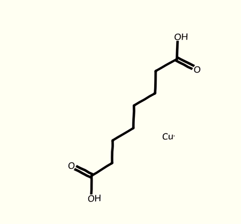 O=C(O)CCCCCCC(=O)O.[Cu]